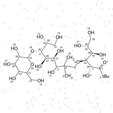 CC(C)(C)C(=O)[C@H](O)[C@@H](OCC(C)(C)C(O)[C@H](O)[C@@H](O)[C@H](OC1OC(CO)C(O)C(O)C1O)[C@H](O)CO)[C@H](O)[C@H](O)CO